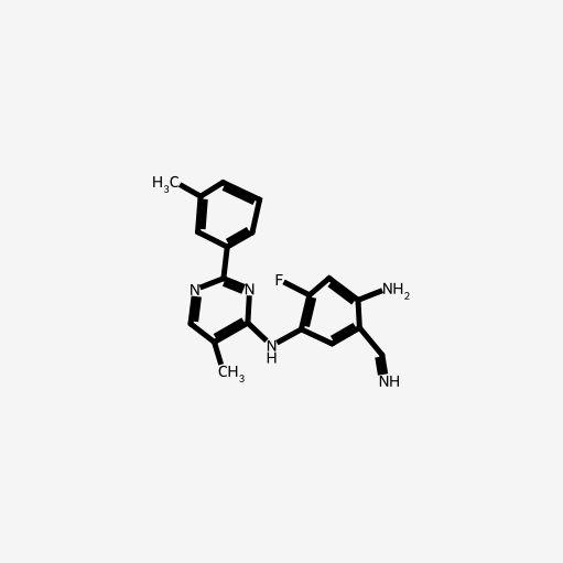 Cc1cccc(-c2ncc(C)c(Nc3cc(C=N)c(N)cc3F)n2)c1